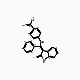 O=C1Nc2ccccc2C1=C(Nc1ccc(C(=O)O)cc1)c1ccccc1